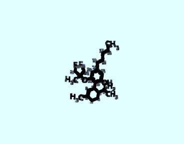 C=C(C)C1CCC(C)=CC1c1c(O)cc(CCCCC)cc1OC(C)(CF)CF